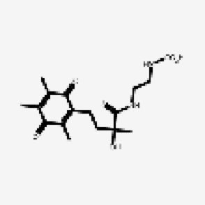 CC1=C(C)C(=O)C(CCC(C)(O)C(=O)NCCNC(=O)O)=C(C)C1=O